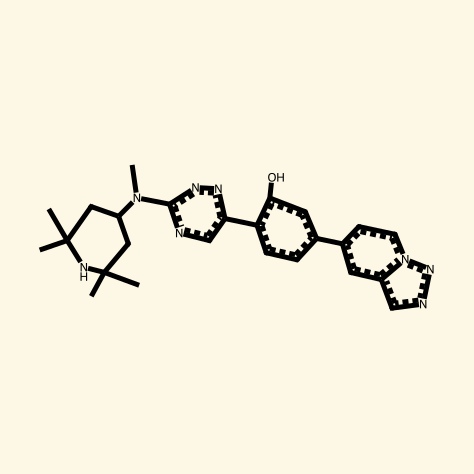 CN(c1ncc(-c2ccc(-c3ccn4nncc4c3)cc2O)nn1)C1CC(C)(C)NC(C)(C)C1